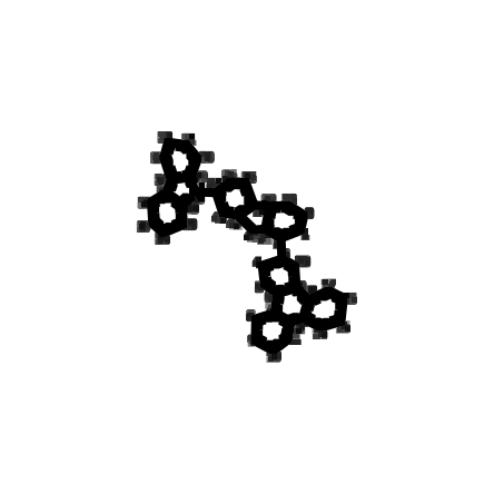 c1cc(-c2ccc3c4ccccc4c4ccccc4c3c2)c2c(c1)-c1ccc(-n3c4ccccc4c4ccccc43)cc1C2